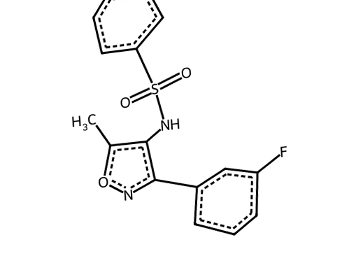 Cc1onc(-c2cccc(F)c2)c1NS(=O)(=O)c1ccccc1